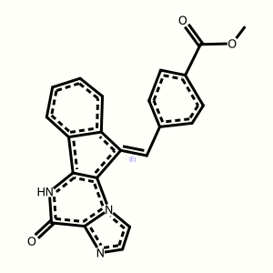 COC(=O)c1ccc(/C=c2\c3ccccc3c3[nH]c(=O)c4nccn4c23)cc1